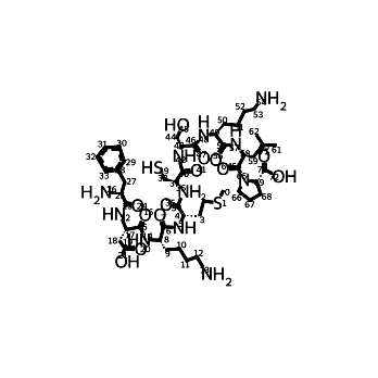 CSCC[C@H](NC(=O)[C@H](CCCCN)NC(=O)[C@H](CC(=O)O)NC(=O)[C@@H](N)Cc1ccccc1)C(=O)N[C@@H](CS)C(=O)N[C@@H](CO)C(=O)N[C@@H](CCCCN)C(=O)N[C@@H](CC(C)C)C(=O)N1CCC[C@H]1C(=O)O